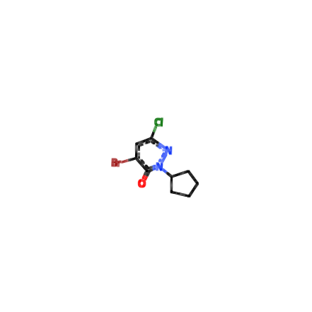 O=c1c(Br)cc(Cl)nn1C1CCCC1